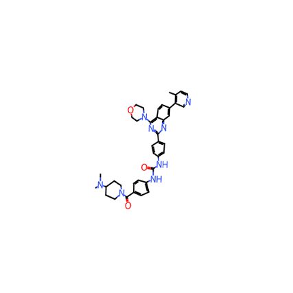 Cc1ccncc1-c1ccc2c(N3CCOCC3)nc(-c3ccc(NC(=O)Nc4ccc(C(=O)N5CCC(N(C)C)CC5)cc4)cc3)nc2c1